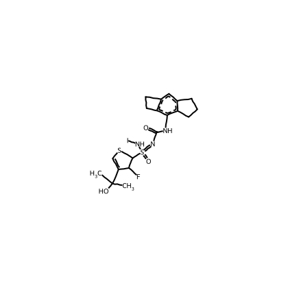 CC(C)(O)C1=CSC(S(=O)(=NC(=O)Nc2c3c(cc4c2CC4)CCC3)NI)C1F